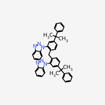 CC(C)(c1ccccc1)c1ccc(Cc2ccc(C(C)(C)c3ccccc3)cc2-n2nnc3ccccc32)c(-n2nnc3ccccc32)c1